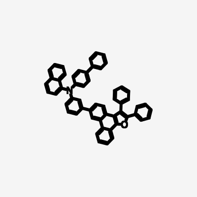 c1ccc(-c2ccc(N(c3cccc(-c4ccc5c(c4)c4ccccc4c4oc(-c6ccccc6)c(-c6ccccc6)c54)c3)c3cccc4ccccc34)cc2)cc1